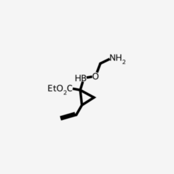 C=CC1CC1(BOCN)C(=O)OCC